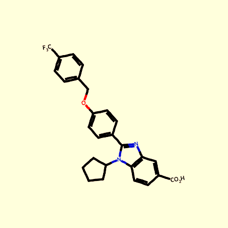 O=C(O)c1ccc2c(c1)nc(-c1ccc(OCc3ccc(C(F)(F)F)cc3)cc1)n2C1CCCC1